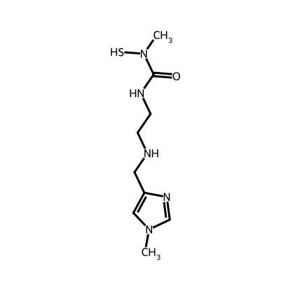 CN(S)C(=O)NCCNCc1cn(C)cn1